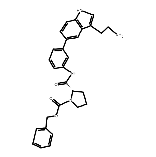 NCCc1c[nH]c2ccc(-c3cccc(NC(=O)[C@@H]4CCCN4C(=O)OCc4ccccc4)c3)cc12